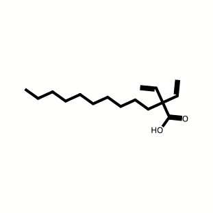 C=CC(C=C)(CCCCCCCCCC)C(=O)O